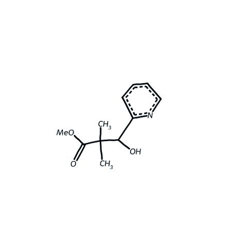 COC(=O)C(C)(C)C(O)c1ccccn1